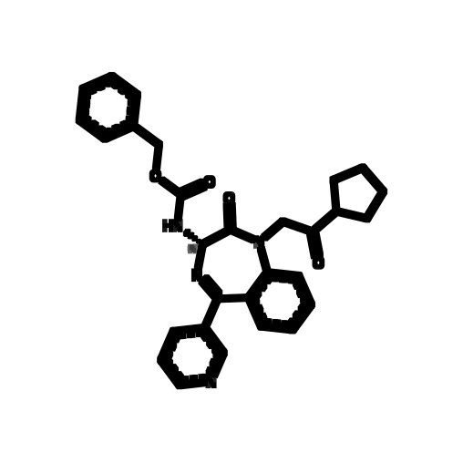 O=C(N[C@H]1N=C(c2cccnc2)c2ccccc2N(CC(=O)C2CCCC2)C1=O)OCc1ccccc1